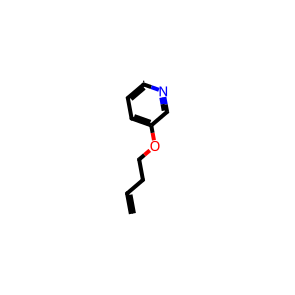 C=CCCOc1cc[c]nc1